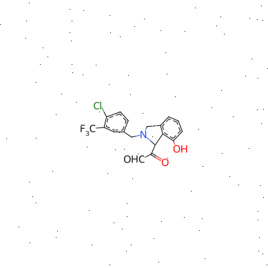 O=CC(=O)C1c2c(O)cccc2CN1Cc1ccc(Cl)c(C(F)(F)F)c1